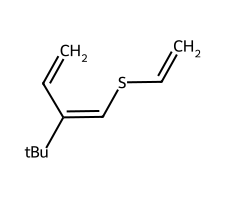 C=CS/C=C(\C=C)C(C)(C)C